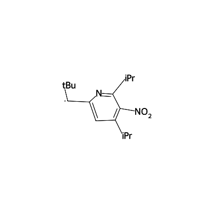 CC(C)c1cc([CH]C(C)(C)C)nc(C(C)C)c1[N+](=O)[O-]